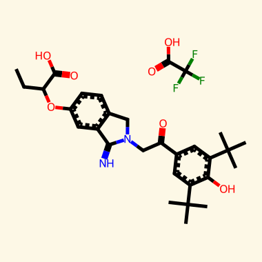 CCC(Oc1ccc2c(c1)C(=N)N(CC(=O)c1cc(C(C)(C)C)c(O)c(C(C)(C)C)c1)C2)C(=O)O.O=C(O)C(F)(F)F